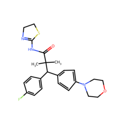 CC(C)(C(=O)NC1=NCCS1)C(c1ccc(F)cc1)c1ccc(N2CCOCC2)cc1